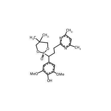 COc1cc(C(CCc2nc(C)cc(C)n2)P2(=O)OCC(C)(C)CO2)cc(OC)c1O